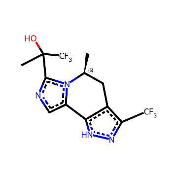 C[C@H]1Cc2c(C(F)(F)F)n[nH]c2-c2cnc(C(C)(O)C(F)(F)F)n21